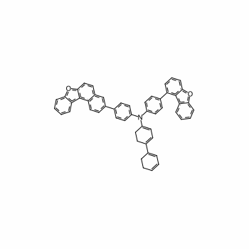 C1=CCCC(C2=CC=C(N(c3ccc(-c4ccc5c(ccc6oc7ccccc7c65)c4)cc3)c3ccc(-c4cccc5oc6ccccc6c45)cc3)CC2)=C1